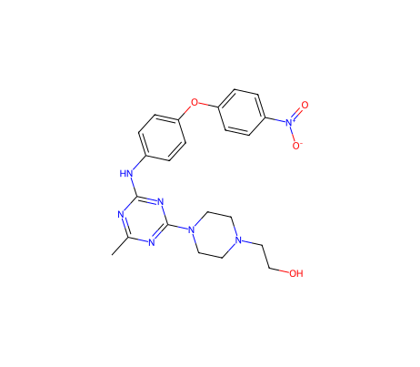 Cc1nc(Nc2ccc(Oc3ccc([N+](=O)[O-])cc3)cc2)nc(N2CCN(CCO)CC2)n1